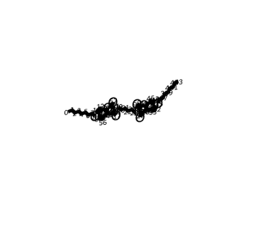 CCCCCCCCON1C(C)(C)CC2(CC(=O)N(CCCCCCN3C(=O)CC4(CC(C)(C)N(OCCCCCCCC)C(C)(C)C4)OC3=O)C(=O)O2)CC1(C)C